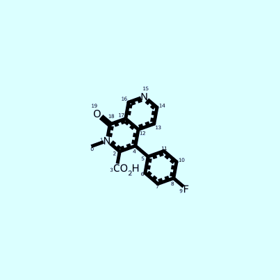 Cn1c(C(=O)O)c(-c2ccc(F)cc2)c2ccncc2c1=O